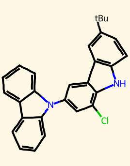 CC(C)(C)c1ccc2[nH]c3c(Cl)cc(-n4c5ccccc5c5ccccc54)cc3c2c1